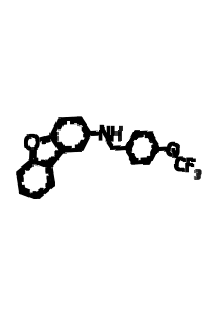 FC(F)(F)Oc1ccc(CNc2ccc3oc4ccccc4c3c2)cc1